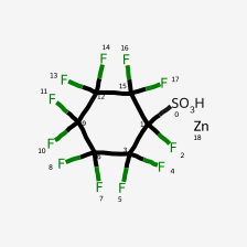 O=S(=O)(O)C1(F)C(F)(F)C(F)(F)C(F)(F)C(F)(F)C1(F)F.[Zn]